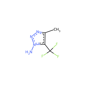 Cc1nnn(N)c1C(F)(F)F